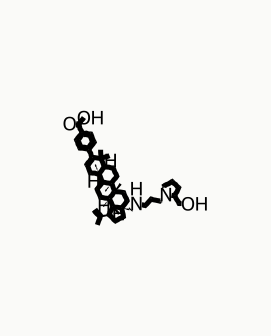 C=C(C)[C@@H]1CC[C@]2(CNCCCN3CCCC3CO)CC[C@]3(C)[C@H](CC[C@@H]4[C@@]5(C)CC=C(c6ccc(C(=O)O)cc6)C(C)(C)[C@@H]5CC[C@]43C)[C@@H]12